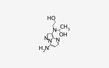 CC(O)N(CCO)c1cnn2c(N)ccnc12